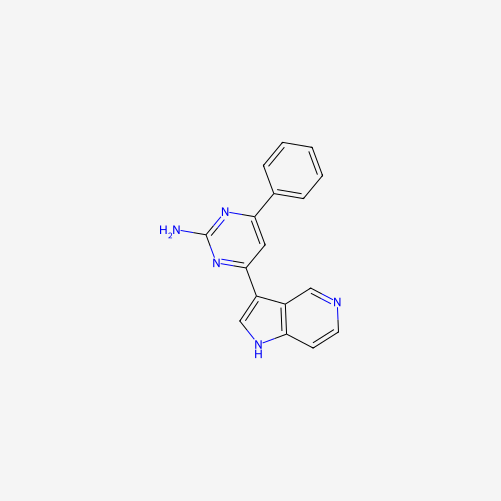 Nc1nc(-c2ccccc2)cc(-c2c[nH]c3ccncc23)n1